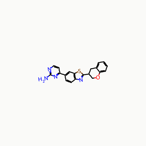 Nc1nccc(-c2ccc3nc(C4COc5ccccc5C4)sc3c2)n1